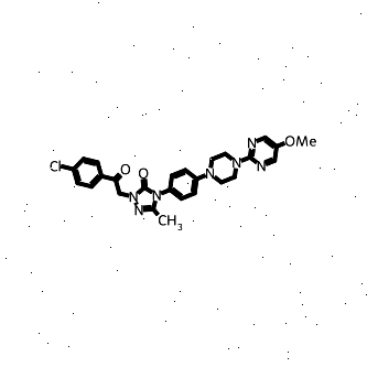 COc1cnc(N2CCN(c3ccc(-n4c(C)nn(CC(=O)c5ccc(Cl)cc5)c4=O)cc3)CC2)nc1